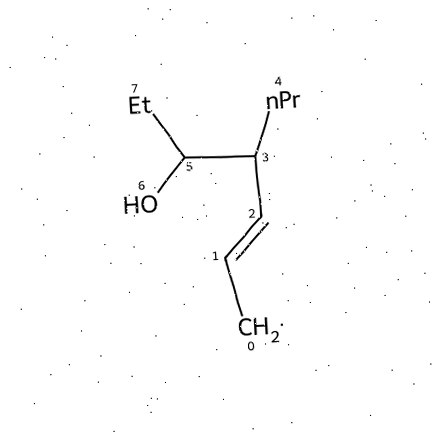 [CH2]/C=C/C(CCC)C(O)CC